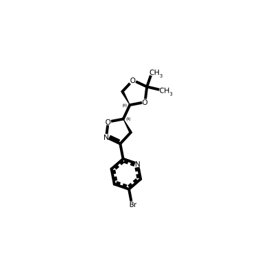 CC1(C)OC[C@H]([C@H]2CC(c3ccc(Br)cn3)=NO2)O1